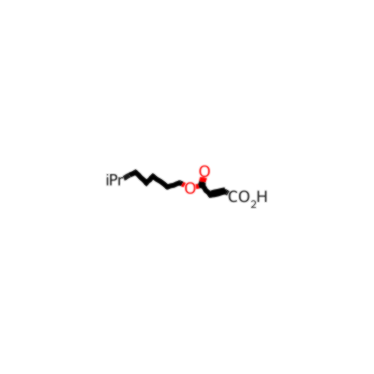 CC(C)CCCCCOC(=O)C=CC(=O)O